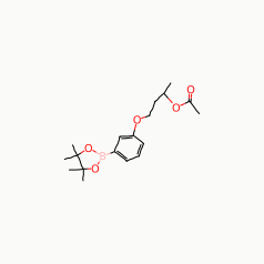 CC(=O)OC(C)CCOc1cccc(B2OC(C)(C)C(C)(C)O2)c1